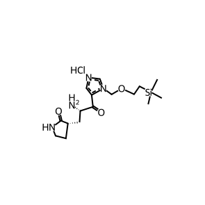 C[Si](C)(C)CCOCn1cncc1C(=O)[C@@H](N)C[C@@H]1CCNC1=O.Cl